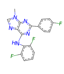 Cn1cnc2c(Nc3c(F)cccc3F)nc(-c3ccc(F)cc3)nc21